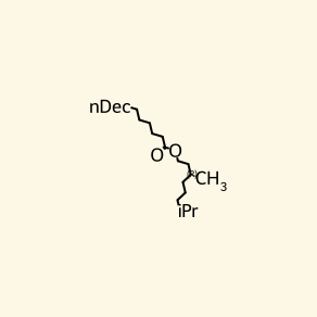 CCCCCCCCCCCCCCCC(=O)OCC[C@H](C)CCCC(C)C